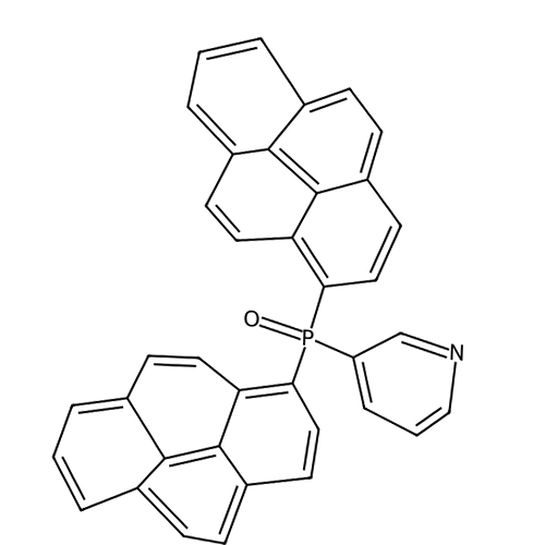 O=P(c1cccnc1)(c1ccc2ccc3cccc4ccc1c2c34)c1ccc2ccc3cccc4ccc1c2c34